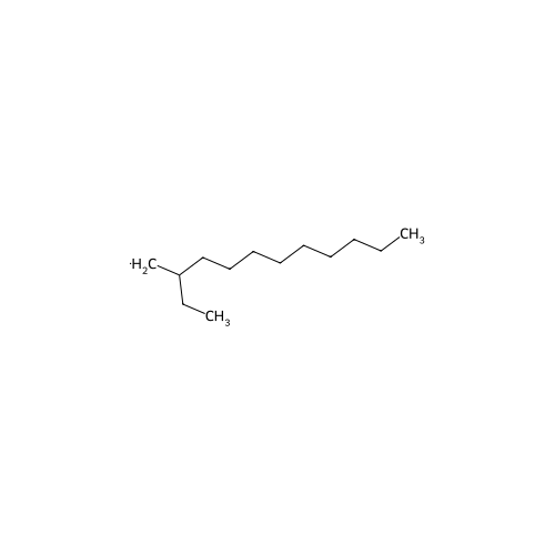 [CH2]C(CC)CCCCCCCCC